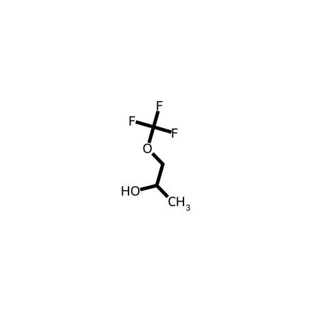 CC(O)COC(F)(F)F